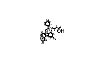 C=C(O)CCCOC(Cn1c2c(c3cc(C)ccc31)C1CCCN1CC2)c1ccncc1